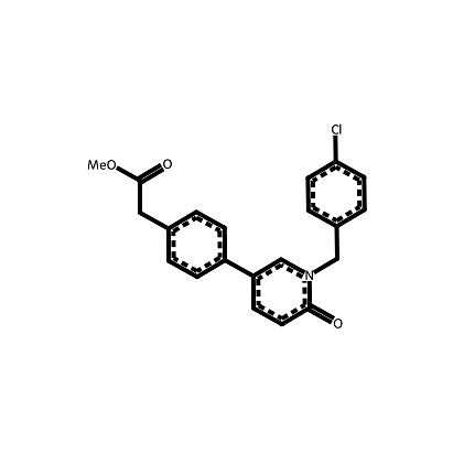 COC(=O)Cc1ccc(-c2ccc(=O)n(Cc3ccc(Cl)cc3)c2)cc1